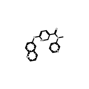 CN(C(=O)C1=CC=C(Oc2ccc3ncccc3c2)NC1)c1cccnc1